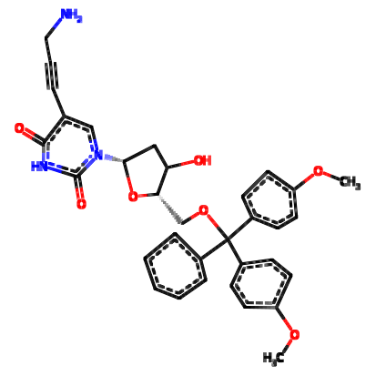 COc1ccc(C(OC[C@@H]2O[C@H](n3cc(C#CCN)c(=O)[nH]c3=O)CC2O)(c2ccccc2)c2ccc(OC)cc2)cc1